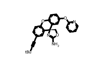 CC(C)(C)C#Cc1ccc2c(c1)[C@]1(COC(N)=N1)c1cc(Oc3ccccn3)ccc1O2